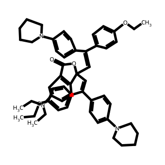 CCOc1ccc(C(=CC2(C=C(c3ccc(OCC)cc3)c3ccc(N4CCCCC4)cc3)OC(=O)c3cc(N(CC)CC)ccc32)c2ccc(N3CCCCC3)cc2)cc1